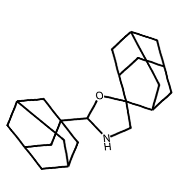 C1C2CC3CC1CC(C2)C31CNC(C23CC4CC(CC(C4)C2)C3)O1